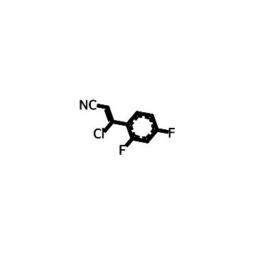 N#CC=C(Cl)c1ccc(F)cc1F